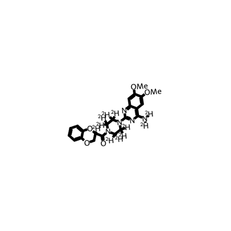 [2H]N([2H])c1nc(N2C([2H])([2H])C([2H])([2H])N(C(=O)C3([2H])COc4ccccc4O3)C([2H])([2H])C2([2H])[2H])nc2cc(OC)c(OC)cc12